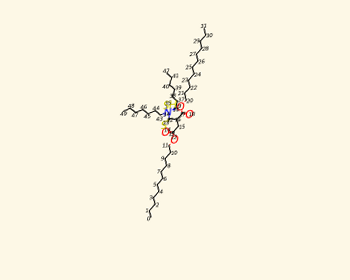 CCCCCCCCCCCCOC(=O)CC(C(=O)OCCCCCCCCCCCC)C(=S)[N+](S)(CCCCCCC)CCCCCCC